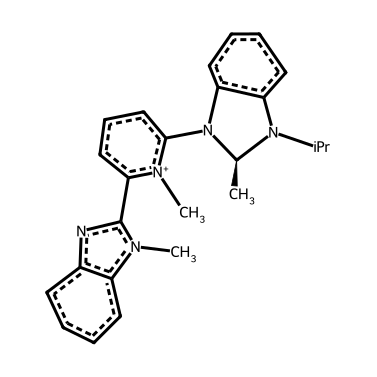 CC(C)N1c2ccccc2N(c2cccc(-c3nc4ccccc4n3C)[n+]2C)[C@@H]1C